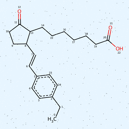 CCc1ccc(/C=C/C2CCC(=O)C2CCCCCCC(=O)O)cc1